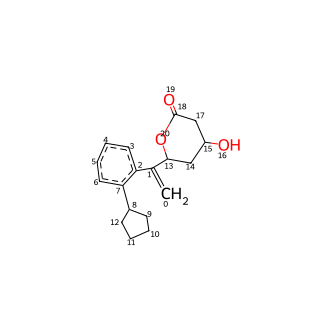 C=C(c1ccccc1C1CCCC1)C1CC(O)CC(=O)O1